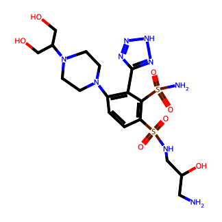 NCC(O)CNS(=O)(=O)c1ccc(N2CCN(C(CO)CO)CC2)c(-c2nn[nH]n2)c1S(N)(=O)=O